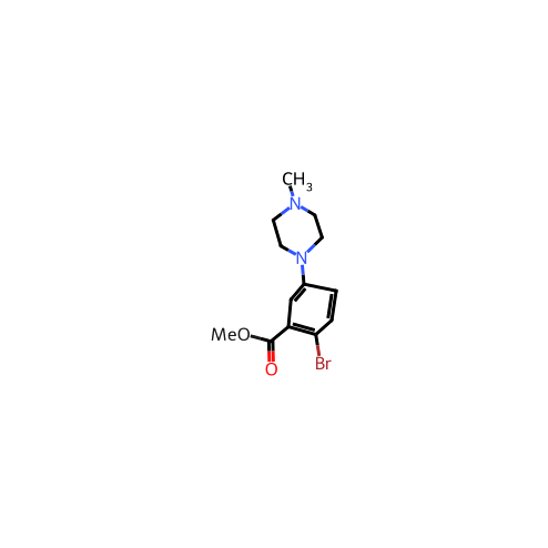 COC(=O)c1cc(N2CCN(C)CC2)ccc1Br